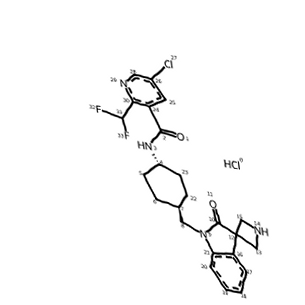 Cl.O=C(N[C@H]1CC[C@H](CN2C(=O)C3(CNC3)c3ccccc32)CC1)c1cc(Cl)cnc1C(F)F